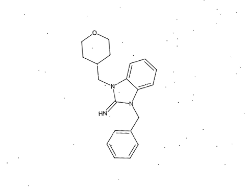 N=c1n(Cc2ccccc2)c2ccccc2n1CC1CCOCC1